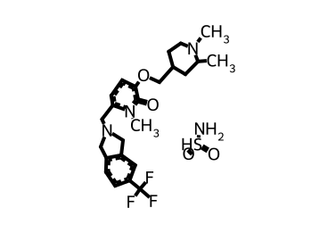 CC1CC(COc2ccc(CN3Cc4ccc(C(F)(F)F)cc4C3)n(C)c2=O)CCN1C.N[SH](=O)=O